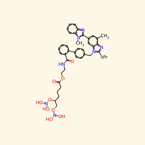 CCCc1nc2c(C)cc(-c3nc4ccccc4n3C)cc2n1Cc1ccc(-c2ccccc2C(=O)NCCOC(=O)CCCC(CON(O)O)ON(O)O)cc1